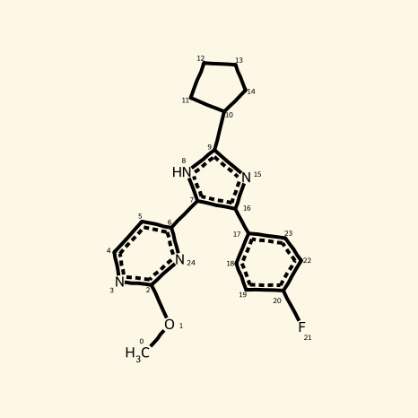 COc1nccc(-c2[nH]c(C3CCCC3)nc2-c2ccc(F)cc2)n1